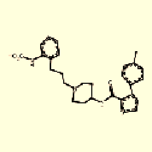 Cc1ccc(-c2ccoc2C(=O)NC2CCN(CCCc3ccccc3NC(=O)O)CC2)cc1